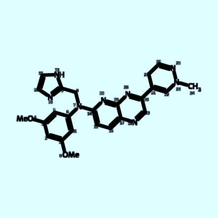 COc1cc(OC)cc(N(Cc2ncc[nH]2)c2ccc3ncc(C4=CN(C)N=CC4)nc3n2)c1